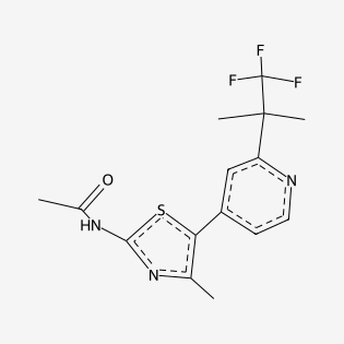 CC(=O)Nc1nc(C)c(-c2ccnc(C(C)(C)C(F)(F)F)c2)s1